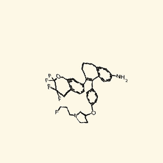 Nc1ccc2c(c1)CCCC(c1ccc3c(c1)OC(F)(F)C(F)(F)C3)=C2c1ccc(OC2CCN(CCCF)C2)cc1